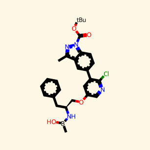 CB(O)N[C@H](COc1cnc(Cl)c(-c2ccc3c(c2)c(C)nn3C(=O)OC(C)(C)C)c1)Cc1ccccc1